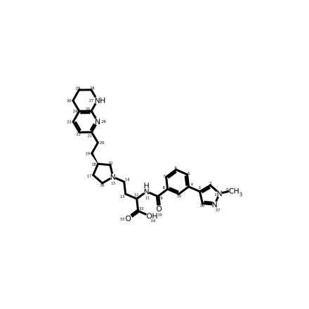 Cn1cc(-c2cccc(C(=O)NC(CCN3CC[C@@H](CCc4ccc5c(n4)NCCC5)C3)C(=O)O)c2)cn1